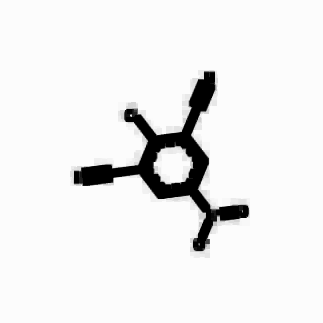 N#Cc1cc([N+](=O)[O-])cc(C#N)c1Cl